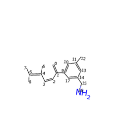 C=C(/C=C\C(C)=C(C)C)c1cc(C)cc(CN)c1